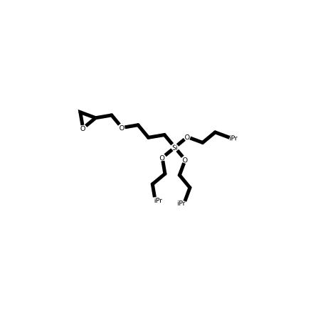 CC(C)CCO[Si](CCCOCC1CO1)(OCCC(C)C)OCCC(C)C